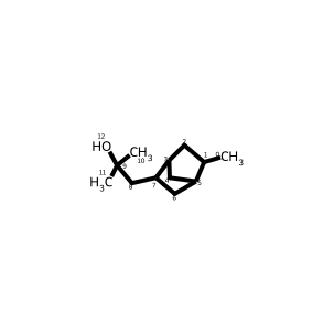 CC1CC2CC1CC2CC(C)(C)O